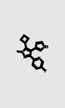 Cn1nc(-c2ccc(F)cn2)c(-c2cc[nH]c2)c1C1CCC1